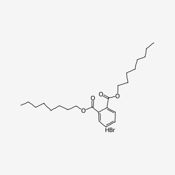 Br.CCCCCCCCOC(=O)c1ccccc1C(=O)OCCCCCCCC